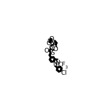 CS(=O)(=O)n1ccnc1CN1C(=O)SC(=Cc2ccc3c(cnn3Cc3ccc(Cl)cc3C(F)(F)F)c2)C1=O